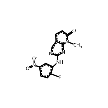 Cn1c(=O)ccc2cnc(Nc3cc([N+](=O)[O-])ccc3F)nc21